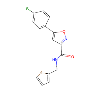 O=C(NCc1cccs1)c1cc(-c2ccc(F)cc2)on1